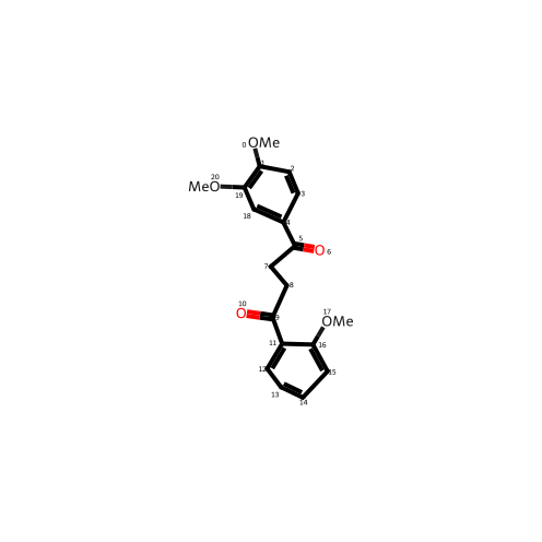 COc1ccc(C(=O)CCC(=O)c2ccccc2OC)cc1OC